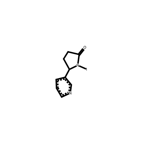 O=C1CCC(c2cccnc2)N1I